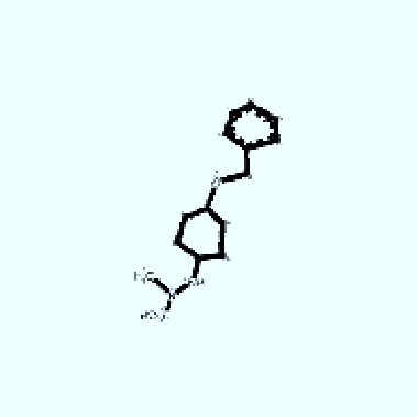 CN(NC1CCC(OCc2ccccc2)CC1)C(=O)O